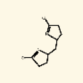 ClC1=NC(CC2CCC(Cl)=N2)CC1